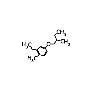 CCc1cc(OCC(C)CC)ccc1C